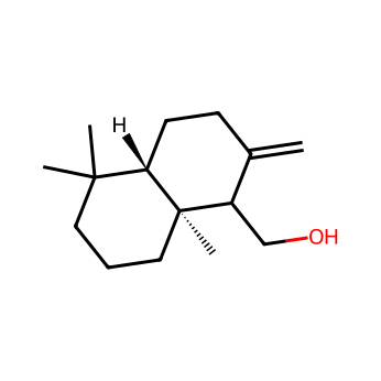 C=C1CC[C@H]2C(C)(C)CCC[C@]2(C)C1CO